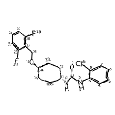 O=C(Nc1ccccc1Cl)N[C@H]1CC[C@H](OCc2c(F)cccc2F)CC1